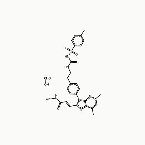 CCCNC(=O)C=Cc1nc2c(C)cc(C)nc2n1-c1ccc(CCNC(=O)NS(=O)(=O)c2ccc(C)cc2)cc1.O=CO